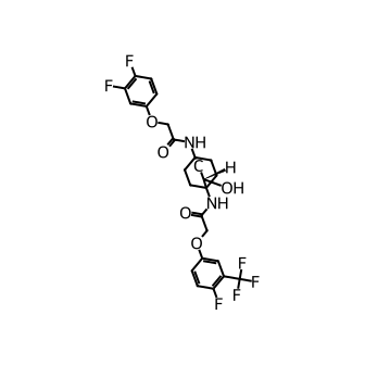 O=C(COc1ccc(F)c(F)c1)NC12CCC(NC(=O)COc3ccc(F)c(C(F)(F)F)c3)(CC1)[C@@H](O)C2